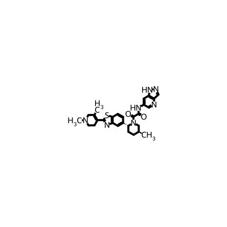 CC1=C(c2nc3cc([C@H]4CC[C@H](C)CN4C(=O)C(=O)Nc4cnc5cn[nH]c5c4)ccc3s2)CCN(C)C1